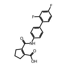 O=C(O)C1=C(C(=O)Nc2ccc(-c3ccc(F)cc3F)cc2)CCC1